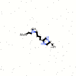 CNCCN(C)CCCC[C@H]1CN[C@H](CC(C)C)CN1